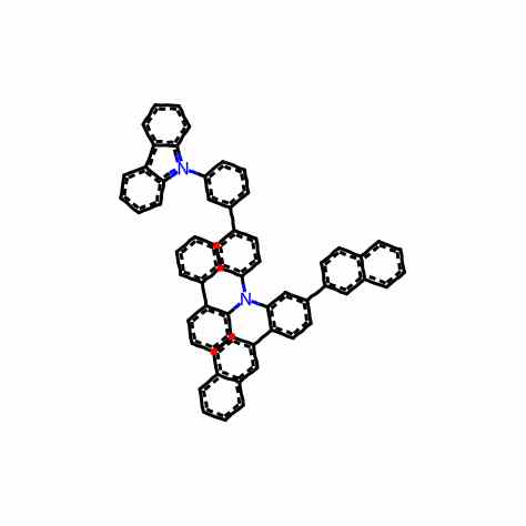 c1ccc(-c2ccccc2N(c2ccc(-c3cccc(-n4c5ccccc5c5ccccc54)c3)cc2)c2cc(-c3ccc4ccccc4c3)ccc2-c2ccc3ccccc3c2)cc1